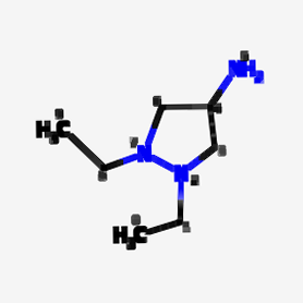 CCN1CC(N)CN1CC